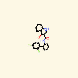 O=C(Nc1ccccc1-c1ccc(F)cc1F)c1c[nH]c2ccccc2c1=O